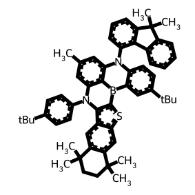 Cc1cc2c3c(c1)N(c1ccc(C(C)(C)C)cc1)c1c(sc4cc5c(cc14)C(C)(C)CCC5(C)C)B3c1cc(C(C)(C)C)ccc1N2c1cccc2c1-c1ccccc1C2(C)C